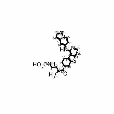 CN(CCNC(=O)O)C(=O)[C@H]1CCc2c(sc3ncnc(Nc4ccn5nccc5c4)c23)C1